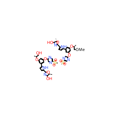 COC[C@H](C)Oc1cc(Oc2cnc(S(C)(=O)=O)cn2)cc(-c2ccc(C3=NC(O)[C@H](C)O3)[nH]2)c1.C[C@@H]1OC(c2ccc(-c3cc(Oc4cnc(S(C)(=O)=O)cn4)cc(O[C@@H](C)CO)c3)[nH]2)=NC1O